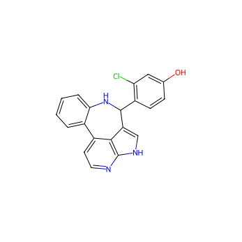 Oc1ccc(C2Nc3ccccc3-c3ccnc4[nH]cc2c34)c(Cl)c1